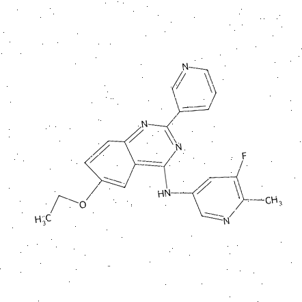 CCOc1ccc2nc(-c3cccnc3)nc(Nc3cnc(C)c(F)c3)c2c1